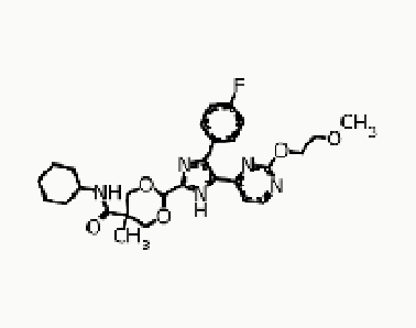 COCCOc1nccc(-c2[nH]c(C3OCC(C)(C(=O)NC4CCCCC4)CO3)nc2-c2ccc(F)cc2)n1